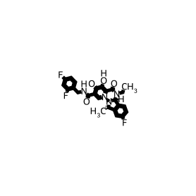 CCN1C(=O)c2c(O)c(=O)c(C(=O)NCc3ccc(F)cc3F)cn2N2[C@@H](C)c3cc(F)ccc3[C@@H]12